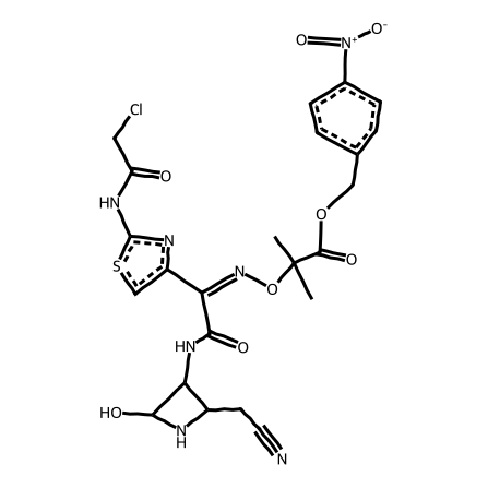 CC(C)(ON=C(C(=O)NC1C(O)NC1CC#N)c1csc(NC(=O)CCl)n1)C(=O)OCc1ccc([N+](=O)[O-])cc1